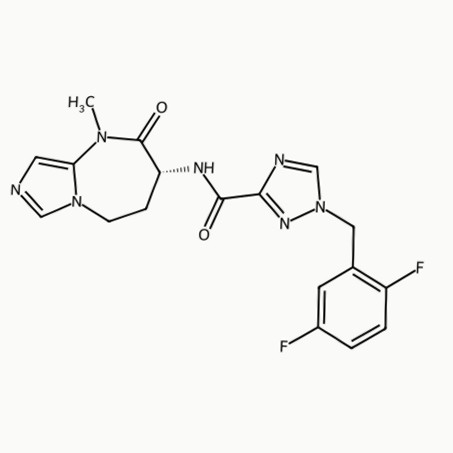 CN1C(=O)[C@H](NC(=O)c2ncn(Cc3cc(F)ccc3F)n2)CCn2cncc21